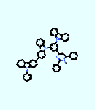 CN1C(c2ccccc2)=NC(c2cc(-n3c4ccccc4c4ccccc43)cc(-n3c4ccccc4c4cc(-c5ccc6c(c5)c5ccccc5n6-c5ccccc5)ccc43)c2)=CC1c1ccccc1